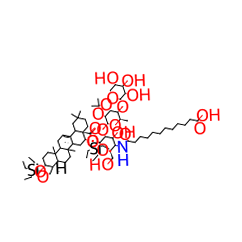 CC[Si](CC)(CC)O[C@H]1CCC2(C)C3CC=C4C5CC(C)(C)CC[C@]5(C(=O)O[C@@H]5O[C@H](CO)[C@H](NC(=O)CCCCCCCCCCC(=O)O)C(O)C5O[C@@H]5O[C@H](C)[C@H](O[C@@H]6OC[C@@H](O)C(O)C6O)C6OC(C)(C)OC65)[C@@H](O[Si](CC)(CC)CC)C[C@@]4(C)C3(C)CC[C@H]2[C@@]1(C)C=O